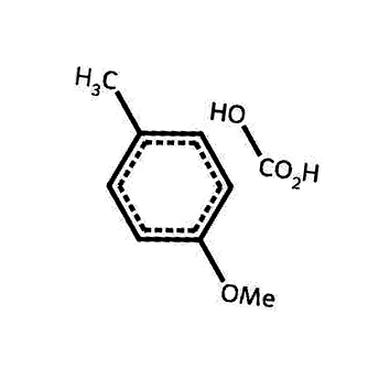 COc1ccc(C)cc1.O=C(O)O